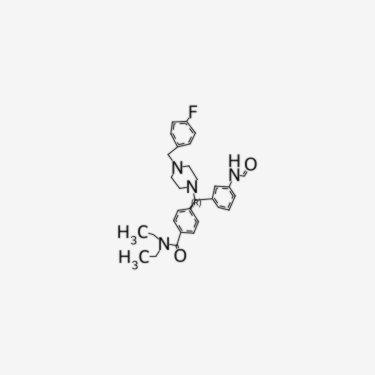 CCN(CC)C(=O)c1ccc([C@H](c2cccc(NC=O)c2)N2CCN(Cc3ccc(F)cc3)CC2)cc1